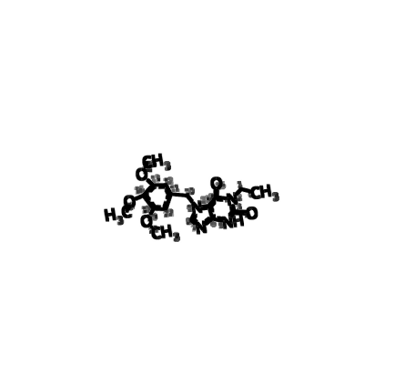 CCn1c(=O)[nH]c2ncn(Cc3cc(OC)c(OC)c(OC)c3)c2c1=O